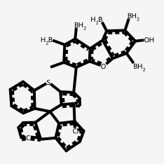 Bc1c(O)c(B)c2oc3c(-c4ccc(Cl)c5c4Sc4ccccc4C54c5ccccc5-c5ccccc54)c(C)c(B)c(B)c3c2c1B